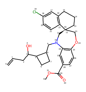 C=CCC(O)C1CCC1CN1C[C@@]2(CCCc3cc(Cl)ccc32)COc2ccc(C(=O)OC)cc21